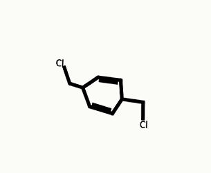 ClCC1C=CC(CCl)C=C1